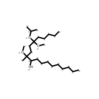 [CH2]C(CCC(CCCCC)(OC)OC(C)C)(OC)C(O)CCCCCCCCC